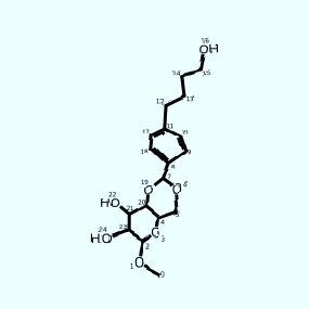 COC1OC2COC(c3ccc(CCCCO)cc3)OC2C(O)C1O